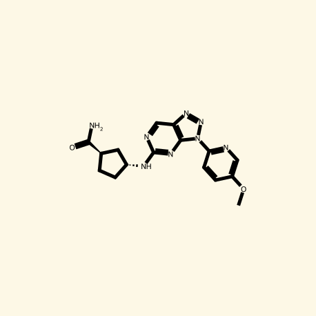 COc1ccc(-n2nnc3cnc(N[C@@H]4CC[C@@H](C(N)=O)C4)nc32)nc1